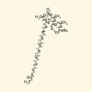 C=CC(=O)OCCOCCOCCOCCOCCOCCOCCOCCOCC(C)OCC(C)OCC(C)OCC(C)OCC(C)OCC(C)OCC(CC)CCCC